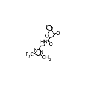 Cc1cc(C(F)(F)F)nc(CCNC(=O)C2CC(=O)c3ccccc3O2)n1